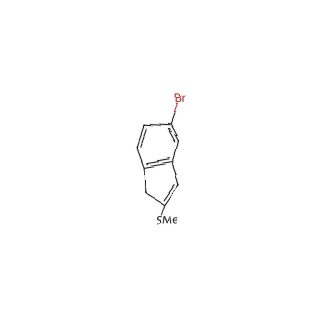 CSC1=Cc2cc(Br)ccc2C1